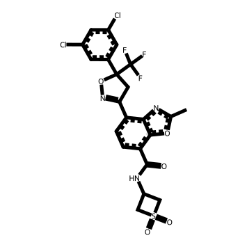 Cc1nc2c(C3=NOC(c4cc(Cl)cc(Cl)c4)(C(F)(F)F)C3)ccc(C(=O)NC3CS(=O)(=O)C3)c2o1